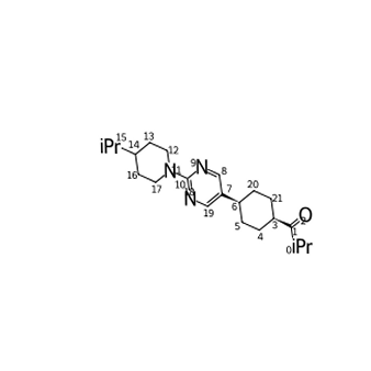 CC(C)C(=O)[C@H]1CC[C@@H](c2cnc(N3CCC(C(C)C)CC3)nc2)CC1